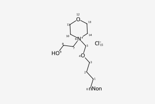 CCCCCCCCCCCCOC[N+]1(CCO)CCOCC1.[Cl-]